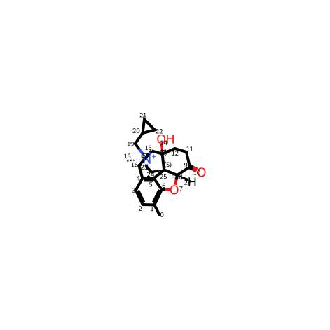 Cc1ccc2c3c1O[C@H]1C(=O)CC[C@@]4(O)C(C2)[N@+](C)(CC2CC2)CC[C@]314